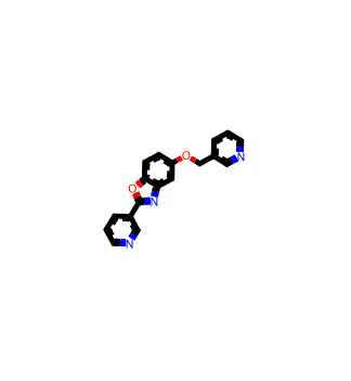 c1cncc(COc2ccc3oc(-c4cccnc4)nc3c2)c1